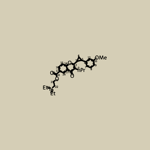 CCCc1c(C2CC2c2cccc(OC)c2)oc2ccc(C(=O)OCCN(CC)CC)cc2c1=O